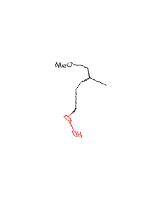 COCC(C)CCOO